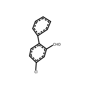 O=Cc1cc(Cl)ccc1-c1ccccc1